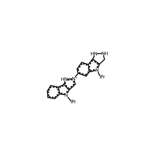 CC(C)n1c2c(c3ccc(-[n+]4cc5c([nH]4)c4ccccc4n5C(C)C)cc31)NNC2